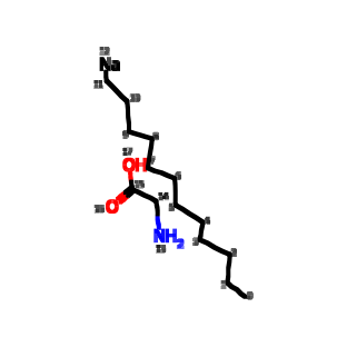 CCCCCCCCCCC[CH2][Na].NCC(=O)O